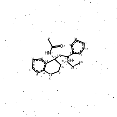 CC(=O)N[C@@]1(SC(=N)c2ccccc2)c2ccccc2OC[C@H]1CCI